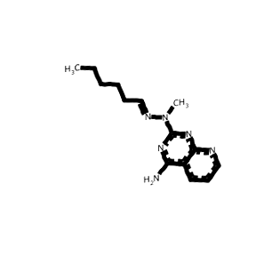 CCCCC/C=N/N(C)c1nc(N)c2cccnc2n1